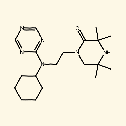 CC1(C)CN(CCN(c2ncncn2)C2CCCCC2)C(=O)C(C)(C)N1